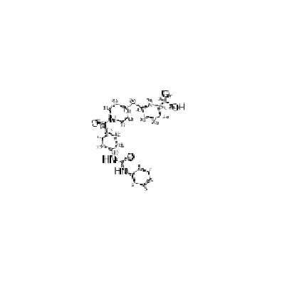 O=C(Nc1ccccc1)Nc1ccc(C(=O)N2CCN(Cc3cccc(C(=O)O)c3)CC2)cc1